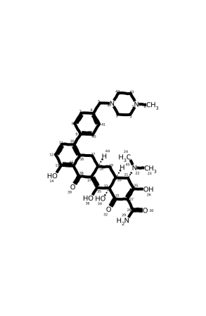 CN1CCN(Cc2ccc(-c3ccc(O)c4c3C[C@H]3C[C@H]5[C@H](N(C)C)C(O)=C(C(N)=O)C(=O)[C@@]5(O)C(O)=C3C4=O)cc2)CC1